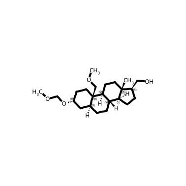 COCO[C@@H]1CC[C@@]2(COC)[C@@H](CC[C@H]3[C@@H]4CC[C@H](CO)[C@@]4(C)CC[C@@H]32)C1